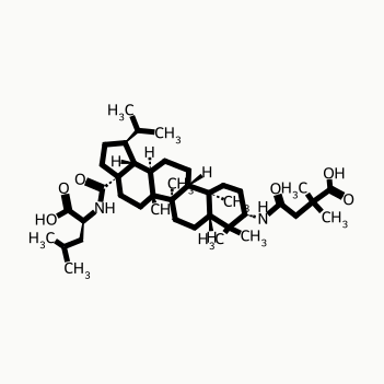 CC(C)C[C@H](NC(=O)[C@]12CC[C@@H](C(C)C)[C@@H]1[C@H]1CC[C@@H]3[C@@]4(C)CC[C@H](NC(=O)CC(C)(C)C(=O)O)C(C)(C)[C@@H]4CC[C@@]3(C)[C@]1(C)CC2)C(=O)O